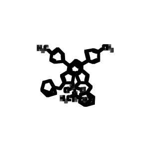 Cc1ccc(-c2cccc3c2C=C(CC24CCC(CC2)C4)[CH]3[Zr]([Cl])([Cl])([CH]2C(CC34CCC(CC3)C4)=Cc3c(-c4ccc(C)cc4)cccc32)[SiH](C)C)cc1